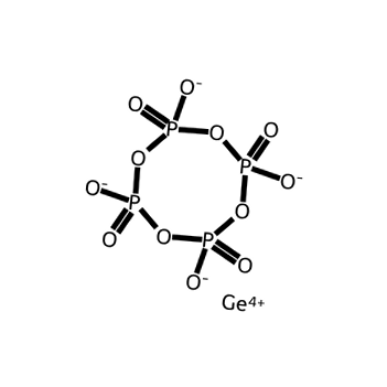 O=P1([O-])OP(=O)([O-])OP(=O)([O-])OP(=O)([O-])O1.[Ge+4]